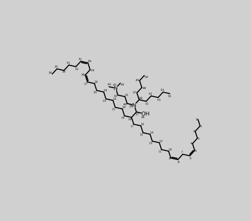 CCCCC/C=C\C/C=C\CCCCCCCCC(CCCCCCCC/C=C\C/C=C\CCCCC)C(O)N(CCCN(C)C)C(CCCC)CCCCC